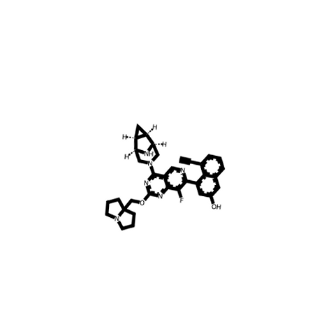 C#Cc1cccc2cc(O)cc(-c3ncc4c(N5C[C@@H]6N[C@H](C5)[C@@H]5C[C@@H]56)nc(OCC56CCCN5CCC6)nc4c3F)c12